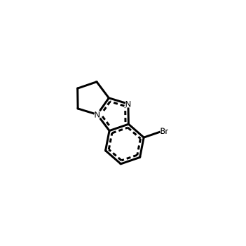 Brc1cccc2c1nc1n2CCC1